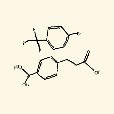 FC(F)(F)c1ccc(Br)cc1.O=C(O)CCc1ccc(B(O)O)cc1